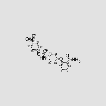 NC(=O)c1ccccc1O[C@H]1CC[C@H](NC(=O)Oc2ccc([N+](=O)[O-])cc2)CC1